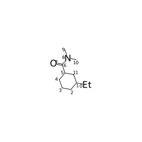 CCC1CCCC(C(=O)N(C)C)C1